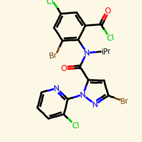 CC(C)N(C(=O)c1cc(Br)nn1-c1ncccc1Cl)c1c(Br)cc(Cl)cc1C(=O)Cl